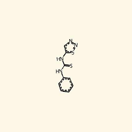 S=C(Nc1ccccc1)Nc1cnns1